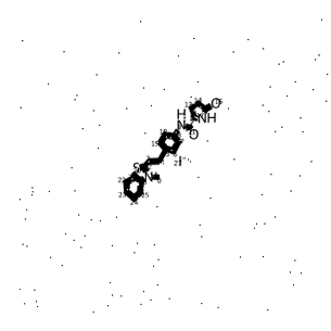 C[n+]1c(C=Cc2ccc(NC(=O)[C@@H]3CCC(=O)N3)cc2)sc2ccccc21.[I-]